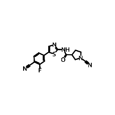 N#Cc1ccc(-c2cnc(NC(=O)C3CCN(C#N)C3)s2)cc1F